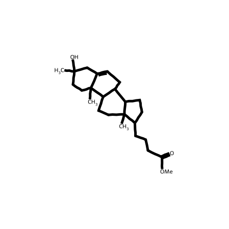 COC(=O)CCCC1CCC2C3CC=C4CC(C)(O)CCC4(C)C3CCC12C